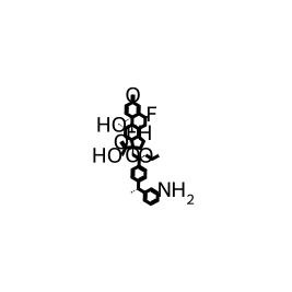 CCO[C@@H](O[C@]1(C(=O)CO)CCC2[C@@H]3C[C@H](F)C4=CC(=O)C=C[C@]4(C)[C@@]3(F)[C@@H](O)C[C@@]21C)c1ccc([C@@H](C)c2cccc(N)c2)cc1